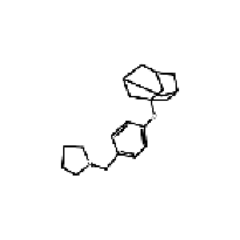 c1cc(OC23CC4CC(CC(C4)C2)C3)ccc1CN1CCCC1